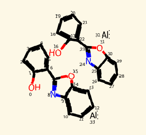 Oc1ccccc1-c1nc2ccccc2o1.Oc1ccccc1-c1nc2ccccc2o1.[Al].[Al]